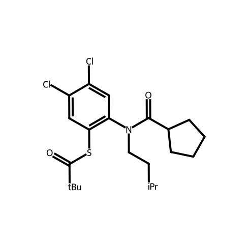 CC(C)CCN(C(=O)C1CCCC1)c1cc(Cl)c(Cl)cc1SC(=O)C(C)(C)C